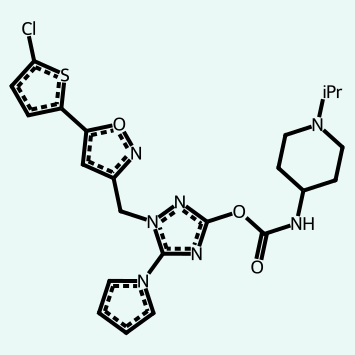 CC(C)N1CCC(NC(=O)Oc2nc(-n3cccc3)n(Cc3cc(-c4ccc(Cl)s4)on3)n2)CC1